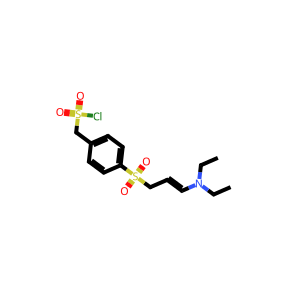 CCN(C=CCS(=O)(=O)c1ccc(CS(=O)(=O)Cl)cc1)CC